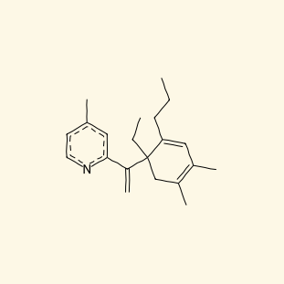 C=C(c1cc(C)ccn1)C1(CC)CC(C)=C(C)C=C1CCC